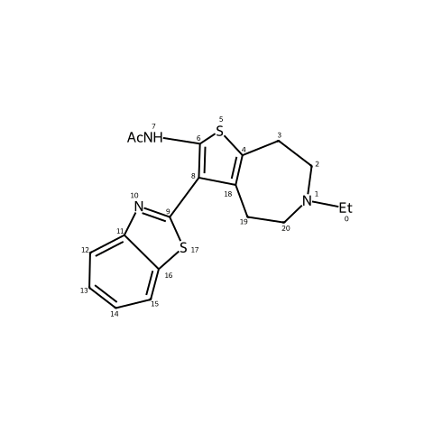 CCN1CCc2sc(NC(C)=O)c(-c3nc4ccccc4s3)c2CC1